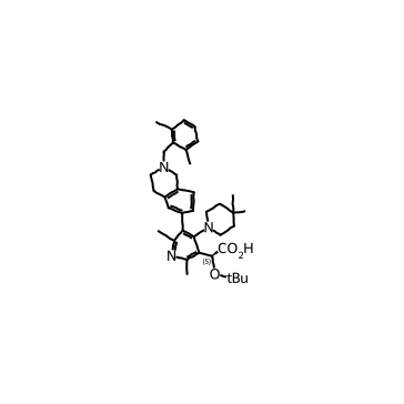 Cc1cccc(C)c1CN1CCc2cc(-c3c(C)nc(C)c([C@H](OC(C)(C)C)C(=O)O)c3N3CCC(C)(C)CC3)ccc2C1